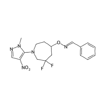 Cn1ncc([N+](=O)[O-])c1N1CCC(ON=Cc2ccccc2)CC(F)(F)C1